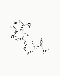 COC(=O)c1cccc(C(=O)Oc2c(Cl)cccc2Cl)c1